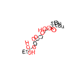 CCC(O)C(O)CCOc1ccc(C2=CC3C=CC(OCC(O)COC(=O)C(CC(C)(C)C)C(C)(C)C)=CC3OC2=O)cc1